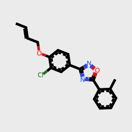 CC=CCOc1ccc(-c2noc(-c3ccccc3C)n2)cc1Cl